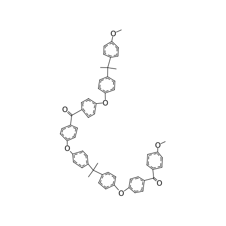 COc1ccc(C(=O)c2ccc(Oc3ccc(C(C)(C)c4ccc(Oc5ccc(C(=O)c6ccc(Oc7ccc(C(C)(C)c8ccc(OC)cc8)cc7)cc6)cc5)cc4)cc3)cc2)cc1